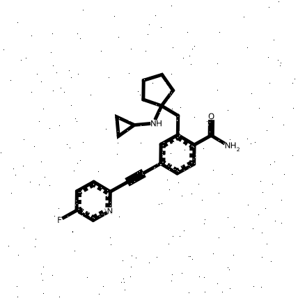 NC(=O)c1ccc(C#Cc2ccc(F)cn2)cc1CC1(NC2CC2)CCCC1